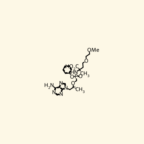 COCCOCCC(C)(NP(=O)(CO[C@H](C)Cn1cnc2c(N)ncnc21)Oc1ccccc1)C(=O)O